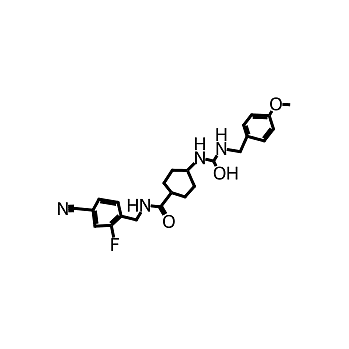 COc1ccc(CNC(O)NC2CCC(C(=O)NCc3ccc(C#N)cc3F)CC2)cc1